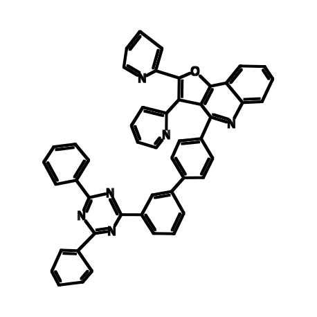 c1ccc(-c2nc(-c3ccccc3)nc(-c3cccc(-c4ccc(-c5nc6ccccc6c6oc(-c7ccccn7)c(-c7ccccn7)c56)cc4)c3)n2)cc1